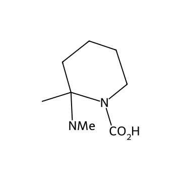 CNC1(C)CCCCN1C(=O)O